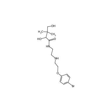 CC(C)(CO)C(O)C(=O)NCCNCCOc1ccc(Br)cc1